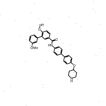 CCCOc1ccc(C(=O)Nc2ccc(-c3ccc(OC4CCNCC4)cc3)cc2)cc1-c1cccc(OC)c1